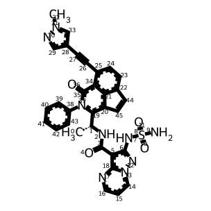 C[C@@H](NC(=O)c1c(NS(N)(=O)=O)nn2cccnc12)c1c2c3c(ccc(C#Cc4cnn(C)c4)c3c(=O)n1-c1ccccc1)C=C2